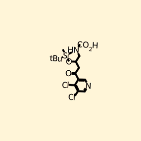 CC(C)(C)[Si](C)(C)OC(CNC(=O)O)CC(=O)c1cncc(Cl)c1Cl